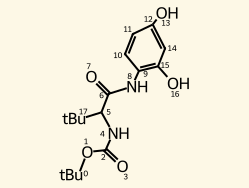 CC(C)(C)OC(=O)NC(C(=O)Nc1ccc(O)cc1O)C(C)(C)C